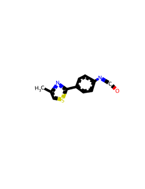 Cc1csc(-c2ccc(N=C=O)cc2)n1